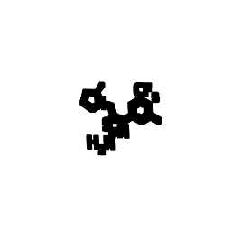 Cc1cc(-c2nc(N)sc2CN2CCC[C@H]2C)cc(C(F)(F)F)c1